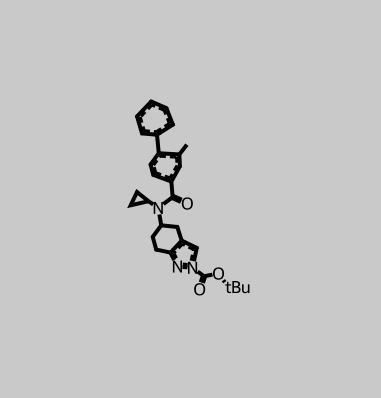 Cc1cc(C(=O)N(C2CC2)C2CCc3nn(C(=O)OC(C)(C)C)cc3C2)ccc1-c1ccccc1